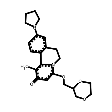 Cc1c2n(c(OCC3COCCO3)cc1=O)CCc1cc(N3CCCC3)ccc1-2